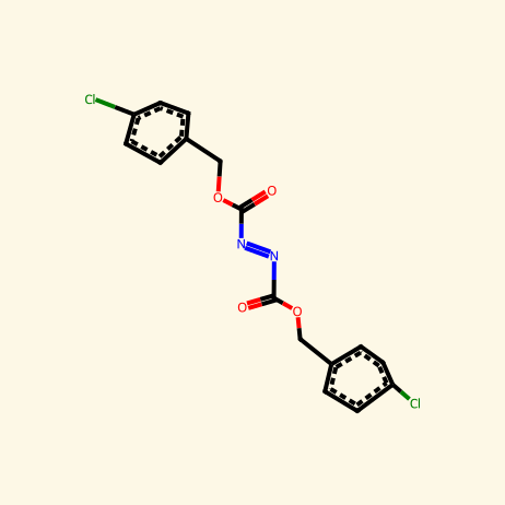 O=C(/N=N/C(=O)OCc1ccc(Cl)cc1)OCc1ccc(Cl)cc1